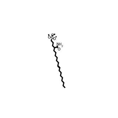 CCCCCCCCC=CCCCCCCC(CCC[Si](OC)(OC)OC)C(N)=O